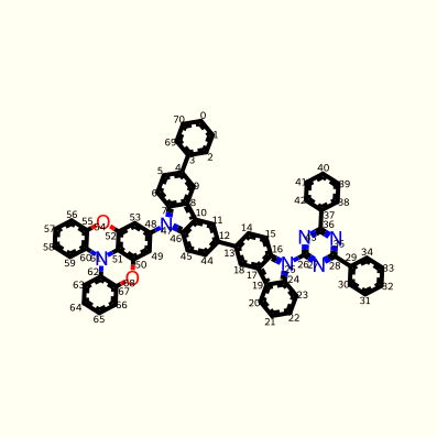 c1ccc(-c2ccc3c(c2)c2cc(-c4ccc5c(c4)c4ccccc4n5-c4nc(-c5ccccc5)nc(-c5ccccc5)n4)ccc2n3-c2cc3c4c(c2)Oc2ccccc2N4c2ccccc2O3)cc1